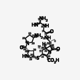 C[C@@H](NC(=O)CNC(=N)N)[C@H]1C(=O)N2C(C(=O)O)=C(S[C@@H]3CN[C@H](C(=O)N4CCC(N)C4)C3)[C@H](C)[C@H]12